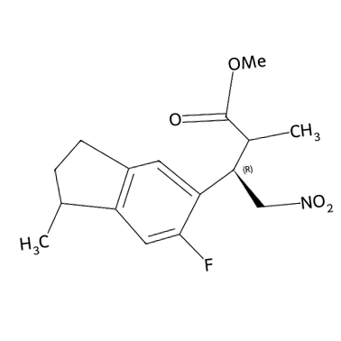 COC(=O)C(C)[C@@H](C[N+](=O)[O-])c1cc2c(cc1F)C(C)CC2